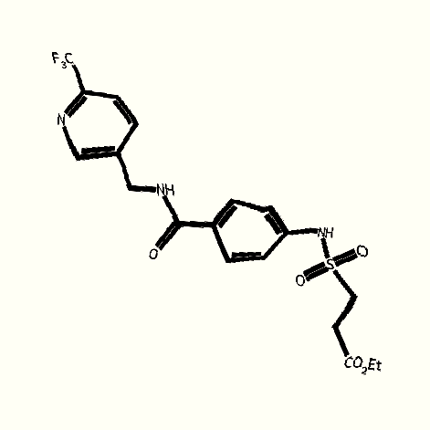 CCOC(=O)CCS(=O)(=O)Nc1ccc(C(=O)NCc2ccc(C(F)(F)F)nc2)cc1